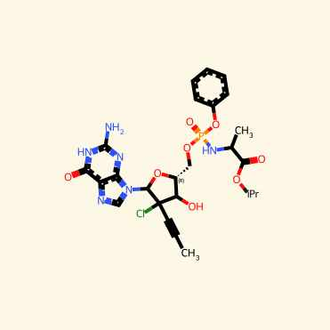 CC#CC1(Cl)C(O)[C@@H](COP(=O)(NC(C)C(=O)OC(C)C)Oc2ccccc2)OC1n1cnc2c(=O)[nH]c(N)nc21